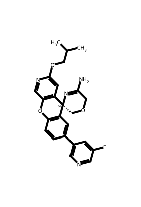 CC(C)COc1cc2c(cn1)Oc1ccc(-c3cncc(F)c3)cc1[C@@]21COCC(N)=N1